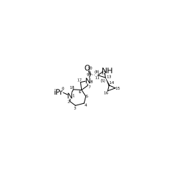 CC(C)N1CCCCC2(CN(C(=O)[C@@H]3N[C@H]3C3CC3)C2)C1